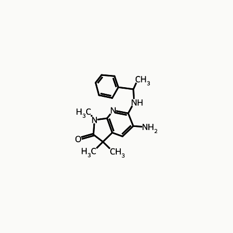 CC(Nc1nc2c(cc1N)C(C)(C)C(=O)N2C)c1ccccc1